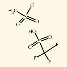 CS(=O)(=O)Cl.O=S(=O)(O)C(F)(F)F